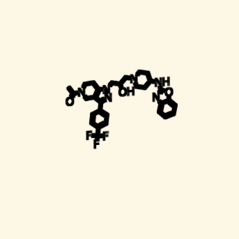 CC(=O)N1CCc2c(c(-c3ccc(C(F)(F)F)cc3)nn2CC(O)CN2CCC(Nc3nc4ccccc4o3)CC2)C1